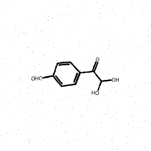 O=Cc1ccc(C(=O)C(O)O)cc1